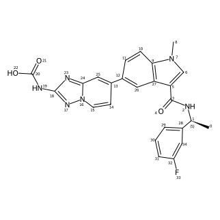 C[C@H](NC(=O)c1cn(C)c2ccc(-c3ccn4nc(NC(=O)O)nc4c3)cc12)c1cccc(F)c1